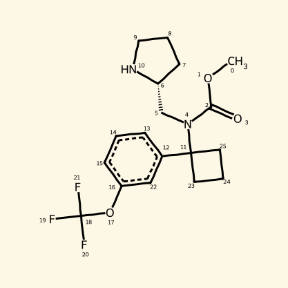 COC(=O)N(C[C@H]1CCCN1)C1(c2cccc(OC(F)(F)F)c2)CCC1